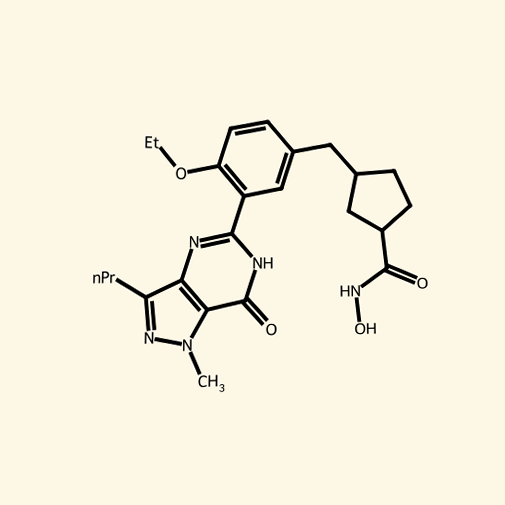 CCCc1nn(C)c2c(=O)[nH]c(-c3cc(CC4CCC(C(=O)NO)C4)ccc3OCC)nc12